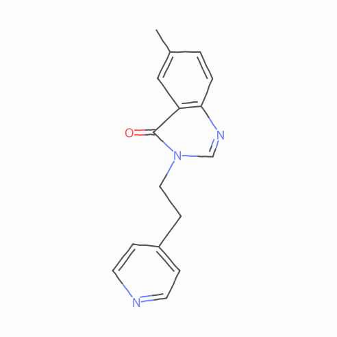 Cc1ccc2ncn(CCc3ccncc3)c(=O)c2c1